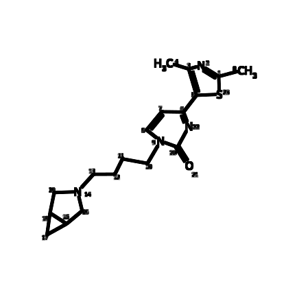 Cc1nc(C)c(-c2ccn(CCCCN3CC4CC4C3)c(=O)n2)s1